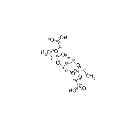 CCC1(OCC(=O)O)OCC2(CO1)COC(CC)(OCC(=O)O)OC2